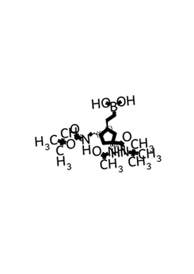 CC(=O)N[C@@]1(C(=O)NC(C)(C)C)C[C@H](CCB(O)O)[C@@H](CNC(=O)OC(C)(C)C)C1